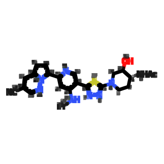 CC(=O)N[C@@H]1CCN(c2nnc(-c3cnc(-c4ccc5cc(C#N)cnn45)cc3NC(C)C)s2)C[C@H]1O